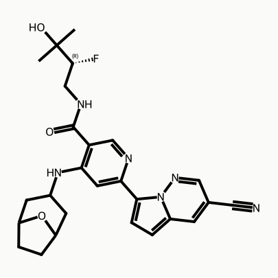 CC(C)(O)[C@H](F)CNC(=O)c1cnc(-c2ccc3cc(C#N)cnn23)cc1NC1CC2CCC(C1)O2